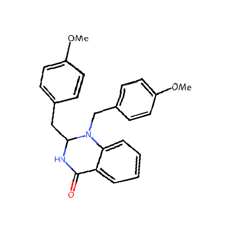 COc1ccc(CC2NC(=O)c3ccccc3N2Cc2ccc(OC)cc2)cc1